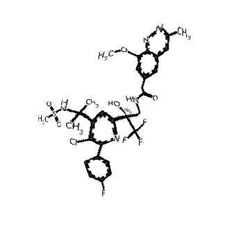 COc1cc(C(=O)NC[C@@](O)(c2cc(C(C)(C)NS(C)(=O)=O)c(Cl)c(-c3ccc(F)cc3)n2)C(F)(F)F)cc2cc(C)nnc12